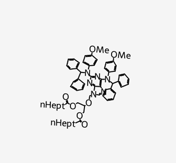 CCCCCCCC(=O)OCC(COC(=O)CCCCCCC)OCn1cnc2c(N(c3ccc(OC)cc3)C(c3ccccc3)c3ccccc3)nc(N(c3ccc(OC)cc3)C(c3ccccc3)c3ccccc3)nc21